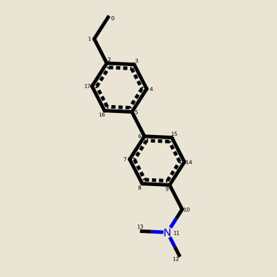 CCc1ccc(-c2ccc(CN(C)C)cc2)cc1